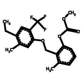 CCc1cc(C(F)(F)F)c(OCc2c(C)cccc2OC(=O)OC)cc1C